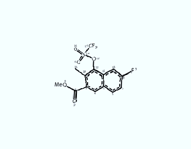 COC(=O)c1cc2ccc(F)cc2c(OS(=O)(=O)C(F)(F)F)c1C